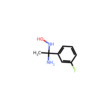 CC(N)(NO)c1cccc(F)c1